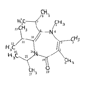 CC1=C(C)N(C)C(C(C)C)=C(C(C)C)N(C(C)C)C1=O